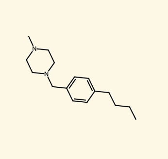 CCCCc1ccc(CN2CCN(C)CC2)cc1